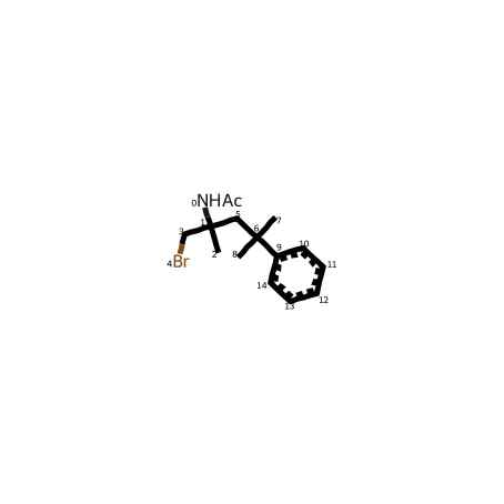 CC(=O)NC(C)(CBr)CC(C)(C)c1ccccc1